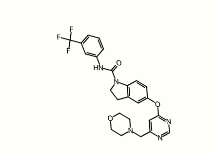 O=C(Nc1cccc(C(F)(F)F)c1)N1CCc2cc(Oc3cc(CN4CCOCC4)ncn3)ccc21